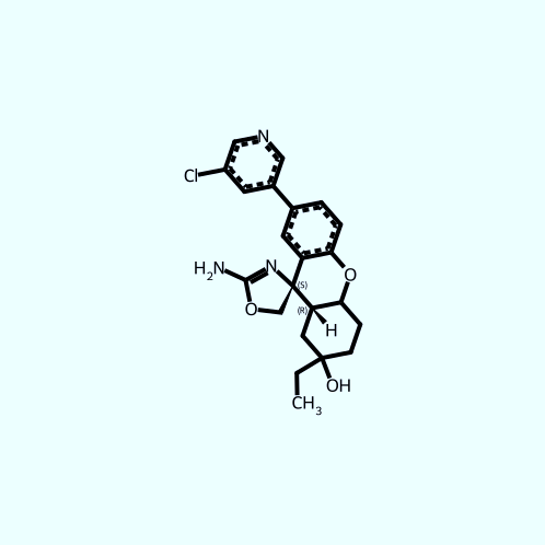 CCC1(O)CCC2Oc3ccc(-c4cncc(Cl)c4)cc3[C@]3(COC(N)=N3)[C@H]2C1